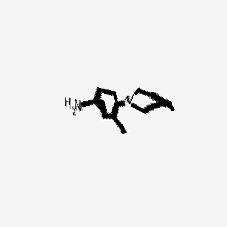 Cc1cc(N)ccc1N1CCC(C)C1